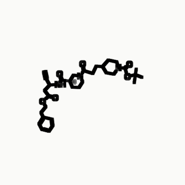 C#CC(CC(=O)OCCc1ccccc1)NC(=O)[C@@H]1CCCN(C(=O)CCC2CCN(C(=O)OC(C)(C)C)CC2)C1